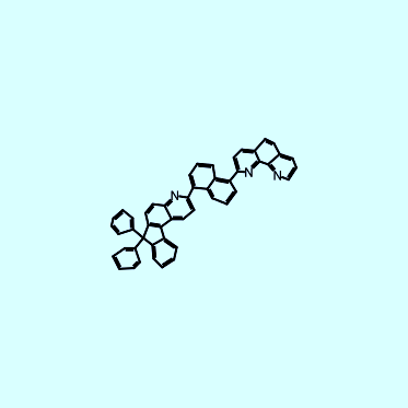 c1ccc(C2(c3ccccc3)c3ccccc3-c3c2ccc2nc(-c4cccc5c(-c6ccc7ccc8cccnc8c7n6)cccc45)ccc32)cc1